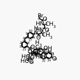 C[C@H](NC(=O)CBr)C(=O)N[C@@H](C)C(=O)Nc1ccc(Cc2cccc([C@@H]3O[C@@H]4C[C@H]5[C@@H]6CCC7=CC(=O)C=C[C@]7(C)[C@@]6(F)[C@@H](O)C[C@]5(C)[C@]4(C(=O)COP(=O)(O)O)O3)c2)cc1